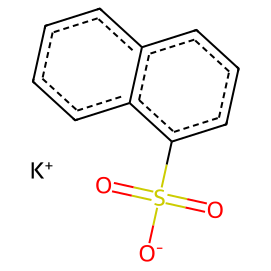 O=S(=O)([O-])c1cccc2ccccc12.[K+]